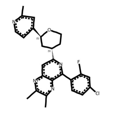 Cc1cc([C@@H]2C[C@@H](c3cc4nc(C)c(C)nc4c(-c4ccc(Cl)cc4F)n3)CCO2)ccn1